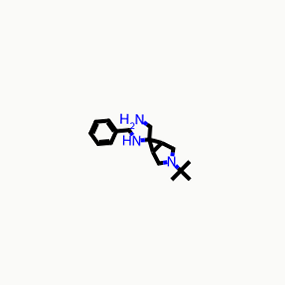 CC(C)(C)N1CC2C(C1)C2(CN)NCc1ccccc1